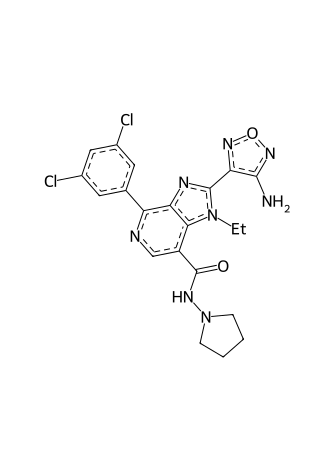 CCn1c(-c2nonc2N)nc2c(-c3cc(Cl)cc(Cl)c3)ncc(C(=O)NN3CCCC3)c21